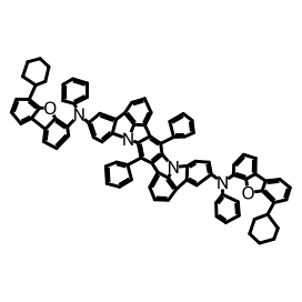 c1ccc(-c2c3c4cccc5c6cc(N(c7ccccc7)c7cccc8c7oc7c(C9CCCCC9)cccc78)ccc6n(c3c(-c3ccccc3)c3c6cccc7c8cc(N(c9ccccc9)c9cccc%10c9oc9c(C%11CCCCC%11)cccc9%10)ccc8n(c23)c76)c54)cc1